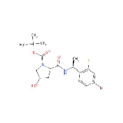 C[C@H](NC(=O)C1CC(O)CN1C(=O)OC(C)(C)C)c1ccc(Br)cc1F